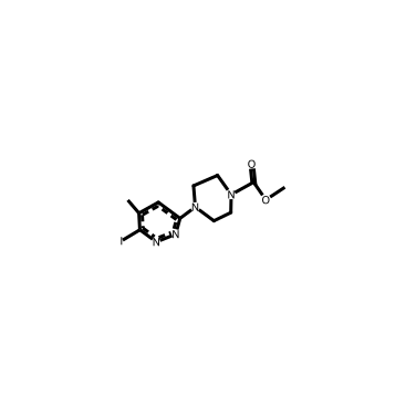 COC(=O)N1CCN(c2cc(C)c(I)nn2)CC1